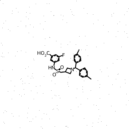 Cc1ccc(C(c2ccc(C)cc2)N2CC(CS(=O)(=O)Nc3cc(F)cc(C(=O)O)c3)C2)cc1